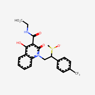 C[S+]([O-])C(Cn1c(=O)c(C(=O)NCC(=O)O)c(O)c2ccccc21)c1ccc(C(F)(F)F)cc1